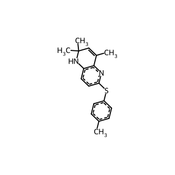 CC1=CC(C)(C)Nc2ccc(Sc3ccc(C)cc3)nc21